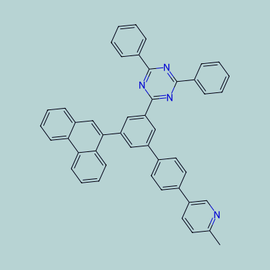 Cc1ccc(-c2ccc(-c3cc(-c4nc(-c5ccccc5)nc(-c5ccccc5)n4)cc(-c4cc5ccccc5c5ccccc45)c3)cc2)cn1